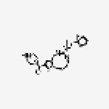 O=C(c1cc2c(s1)/C=C\C/C=N\C(NCCc1ccccn1)=N/C2)N1CCNCC1